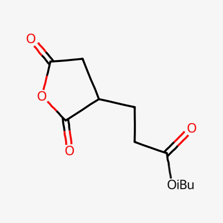 CC(C)COC(=O)CCC1CC(=O)OC1=O